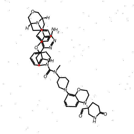 CN(C(=O)N1CCC(Oc2cccc(N3[C@@H]4COC[C@H]3CN(c3cc(-c5ccccc5O)nnc3N)C4)c2)CC1)C1CCN(c2cccc3c2OCCN3[C@]2(C=O)CCC(=O)NC2)CC1